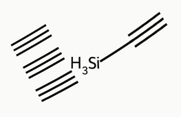 C#C.C#C.C#C.C#C[SiH3]